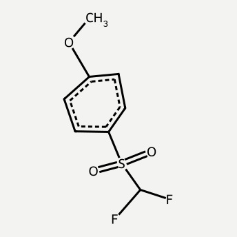 COc1ccc(S(=O)(=O)C(F)F)cc1